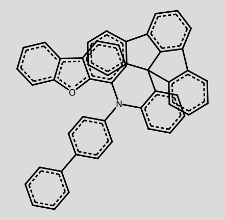 c1ccc(-c2ccc(N(c3ccccc3C34c5ccccc5-c5cccc(c53)-c3ccccc34)c3cccc4c3oc3ccccc34)cc2)cc1